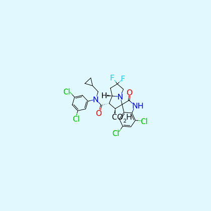 O=C(O)[C@H]1[C@H](C(=O)N(CC2CC2)c2cc(Cl)cc(Cl)c2)[C@@H]2CC(F)(F)CN2C12C(=O)Nc1c(Cl)cc(Cl)cc12